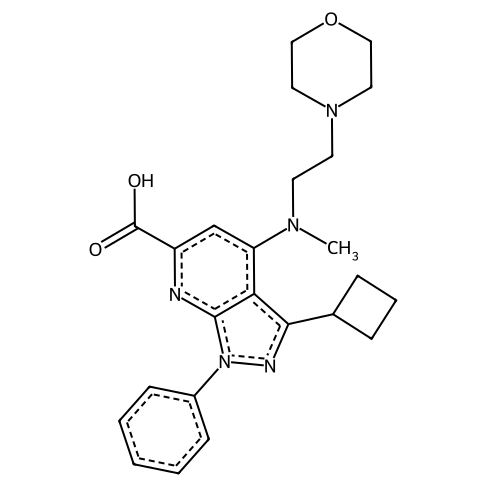 CN(CCN1CCOCC1)c1cc(C(=O)O)nc2c1c(C1CCC1)nn2-c1ccccc1